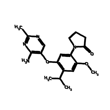 COc1cc(C(C)C)c(Oc2cnc(C)nc2N)cc1N1CCCC1=O